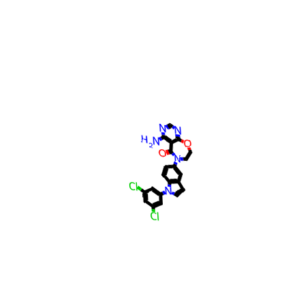 Nc1ncnc2c1C(=O)N(c1ccc3c(ccn3-c3cc(Cl)cc(Cl)c3)c1)CCO2